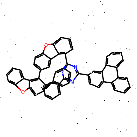 c1ccc(-c2nc(-c3ccc4c5ccccc5c5ccccc5c4c3)nc(-c3cccc4oc5ccc(-c6c(-c7ccccc7)ccc7oc8ccccc8c67)cc5c34)n2)cc1